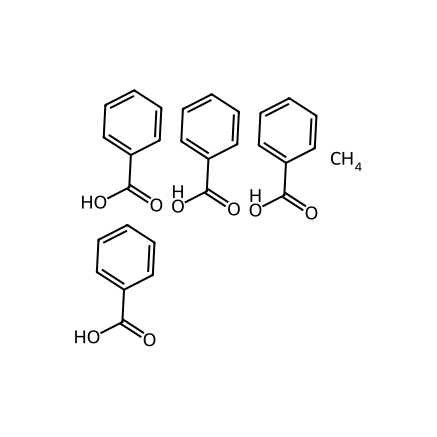 C.O=C(O)c1ccccc1.O=C(O)c1ccccc1.O=C(O)c1ccccc1.O=C(O)c1ccccc1